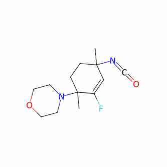 CC1(N=C=O)C=C(F)C(C)(N2CCOCC2)CC1